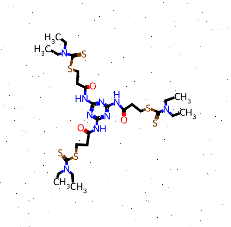 CCN(CC)C(=S)SCCC(=O)Nc1nc(NC(=O)CCSC(=S)N(CC)CC)nc(NC(=O)CCSC(=S)N(CC)CC)n1